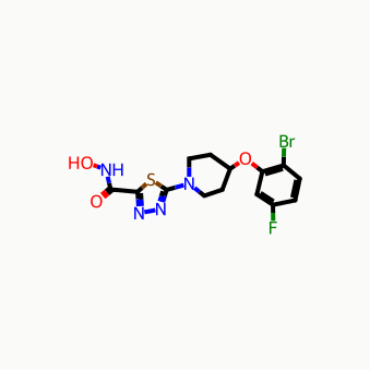 O=C(NO)c1nnc(N2CCC(Oc3cc(F)ccc3Br)CC2)s1